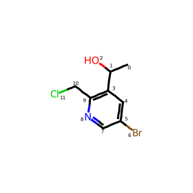 CC(O)c1cc(Br)cnc1CCl